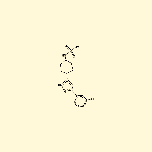 CC(C)S(=O)(=O)N[C@H]1CC[C@H](c2cc(-c3cccc(Cl)c3)n[nH]2)CC1